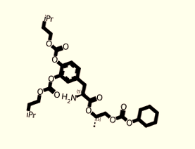 CC(C)CCOC(=O)Oc1ccc(C[C@H](N)C(=O)O[C@@H](C)COC(=O)OC2CCCCC2)cc1OC(=O)OCCC(C)C